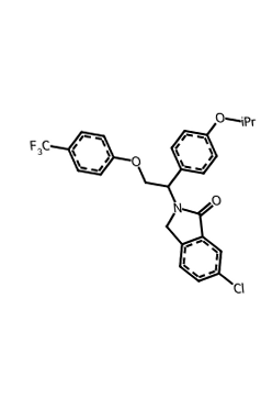 CC(C)Oc1ccc(C(COc2ccc(C(F)(F)F)cc2)N2Cc3ccc(Cl)cc3C2=O)cc1